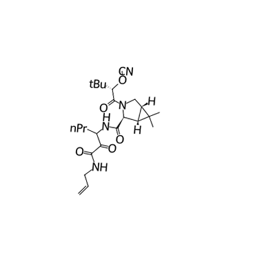 C=CCNC(=O)C(=O)C(CCC)NC(=O)[C@@H]1[C@@H]2[C@H](CN1C(=O)[C@@H](OC#N)C(C)(C)C)C2(C)C